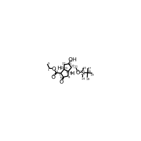 CCOC(=O)C1C(=O)C[C@@H]2[C@@H](CO[Si](C)(C)C(C)(C)C)[C@H](O)C[C@H]12